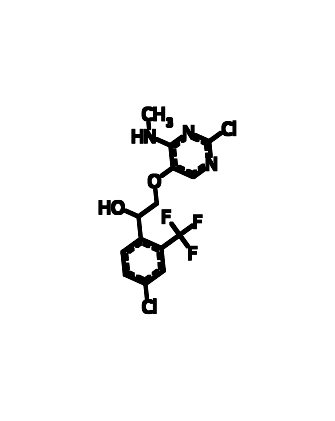 CNc1nc(Cl)ncc1OCC(O)c1ccc(Cl)cc1C(F)(F)F